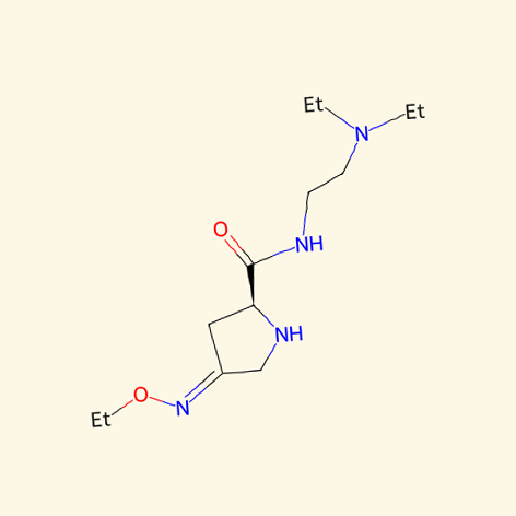 CCON=C1CN[C@H](C(=O)NCCN(CC)CC)C1